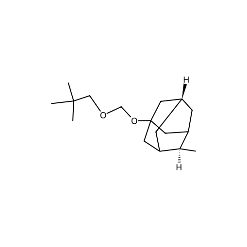 CC(C)(C)COCOC12CC3C[C@H](CC(C1)[C@@H]3C)C2